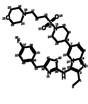 CCc1nc2ccc(C3CCN(S(=O)(=O)CCCN4CCOCC4)CC3)cn2c1Nc1nc(Cc2ccc(F)cc2)cs1